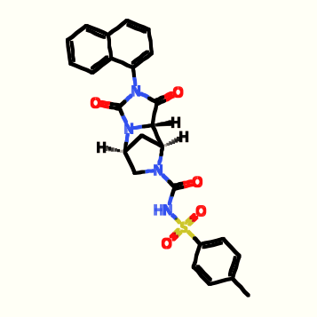 Cc1ccc(S(=O)(=O)NC(=O)N2C[C@@H]3C[C@H]2[C@H]2C(=O)N(c4cccc5ccccc45)C(=O)N32)cc1